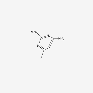 CNc1nc(N)cc(F)n1